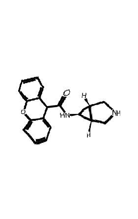 O=C(N[C@H]1[C@@H]2CNC[C@@H]21)C1c2ccccc2Oc2ccccc21